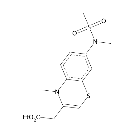 CCOC(=O)CC1=CSc2cc(N(C)S(C)(=O)=O)ccc2N1C